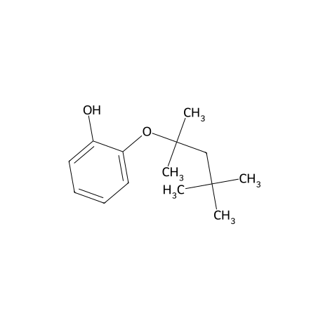 CC(C)(C)CC(C)(C)Oc1ccccc1O